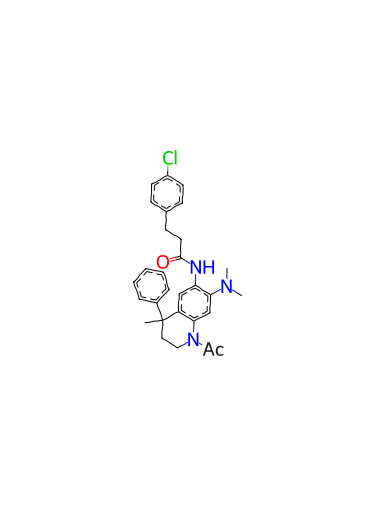 CC(=O)N1CCC(C)(c2ccccc2)c2cc(NC(=O)CCc3ccc(Cl)cc3)c(N(C)C)cc21